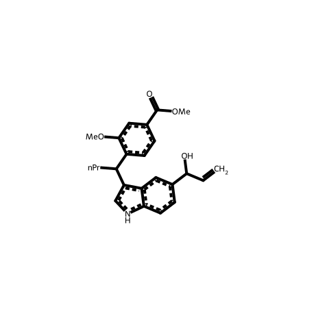 C=CC(O)c1ccc2[nH]cc(C(CCC)c3ccc(C(=O)OC)cc3OC)c2c1